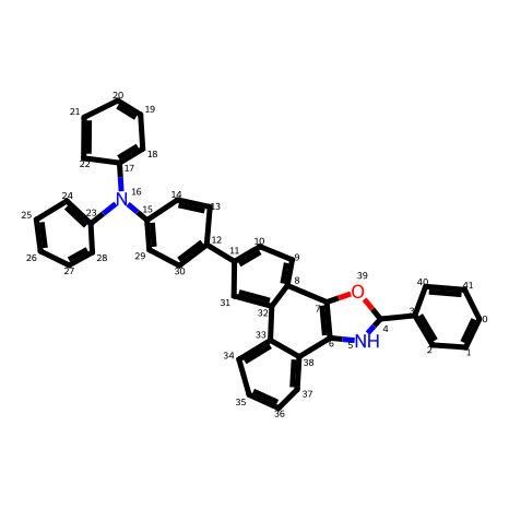 c1ccc(C2Nc3c(c4ccc(-c5ccc(N(c6ccccc6)c6ccccc6)cc5)cc4c4ccccc34)O2)cc1